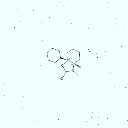 CN1[C@H]2CCCC[C@@]2(C2CCCCC2)OP1Cl